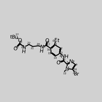 CCc1cc(NC(=O)c2ncc(Br)n2C)ccc1C(=O)NCCCNC(=O)OC(C)(C)C